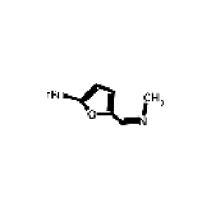 C/N=C\c1ccc(C(C)(C)C)o1